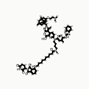 Cc1cc(N(CCCCN(C)C(=O)CCCCCCCCCNc2cccc3c2C(=O)N(C2CCC(=O)NC2=O)C3=O)c2ccc(-c3cnn(CC45CC6(C)CC(C)(C4)CC(OCCN(C)C)(C6)C5)c3C)c(C(=O)O)n2)nnc1Nc1nc2ccccc2s1